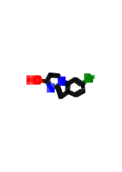 Oc1ccn2c(cc3ccc(Br)cc32)n1